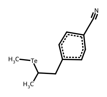 C[Te]C(C)Cc1ccc(C#N)cc1